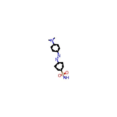 CN(C)c1ccc(N=Nc2ccc(S([NH])(=O)=O)cc2)cc1